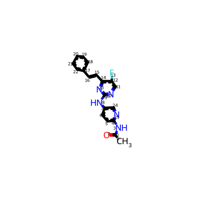 CC(=O)Nc1ccc(Nc2ncc(F)c(C=Cc3ccccc3)n2)cn1